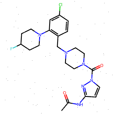 CC(=O)Nc1ccn(C(=O)N2CCN(Cc3ccc(Cl)cc3N3CCC(F)CC3)CC2)n1